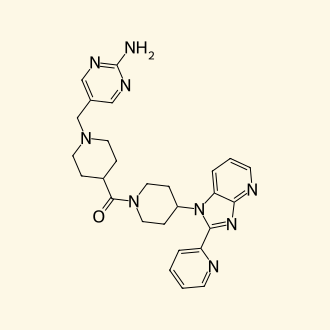 Nc1ncc(CN2CCC(C(=O)N3CCC(n4c(-c5ccccn5)nc5ncccc54)CC3)CC2)cn1